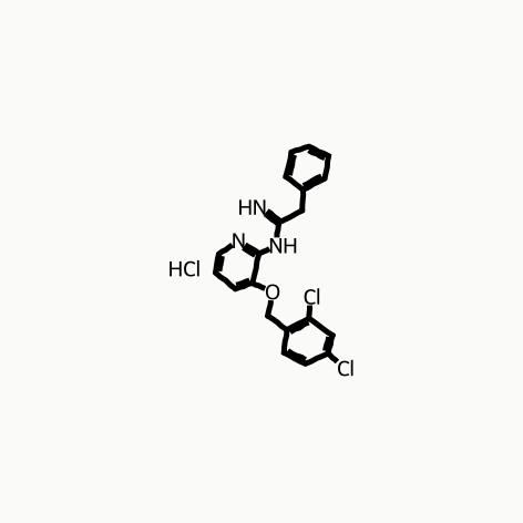 Cl.N=C(Cc1ccccc1)Nc1ncccc1OCc1ccc(Cl)cc1Cl